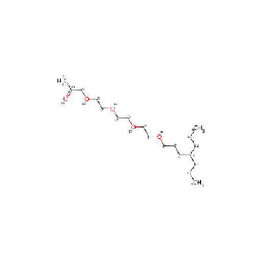 CCCC(CCC)CCCOCCOCCOCCOCC(C)=O